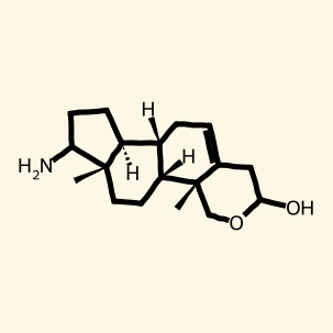 C[C@]12COC(O)CC1=CC[C@@H]1[C@H]2CC[C@]2(C)C(N)CC[C@@H]12